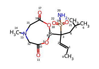 CC=CC(CC(C)C)(B1OC(=O)CN(C)CC(=O)O1)S(N)(=O)=O